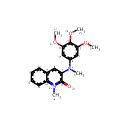 COc1cc(N(C)c2cc3ccccc3n(C)c2=O)cc(OC)c1OC